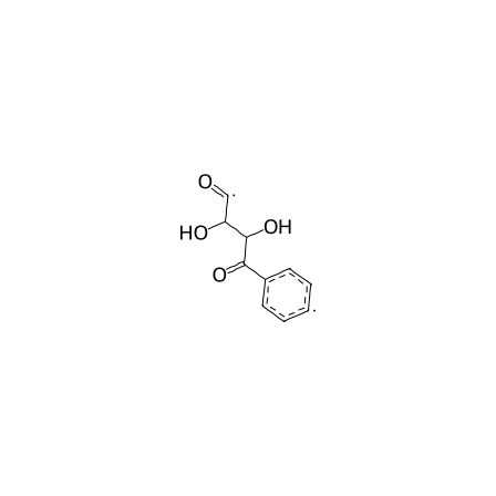 O=[C]C(O)C(O)C(=O)c1cc[c]cc1